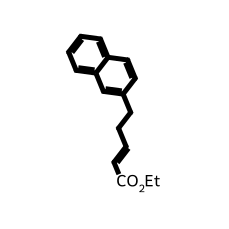 CCOC(=O)C=CCCc1ccc2ccccc2c1